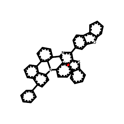 c1ccc(-c2ccc3c4c(cccc24)-c2cccc(-c4nc(-c5ccc6c(c5)oc5ccccc56)c5sc6ccccc6c5n4)c2N3c2ccccc2)cc1